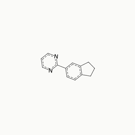 c1cnc(-c2ccc3c(c2)CCC3)nc1